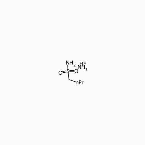 CCCCS(N)(=O)=O.F.N